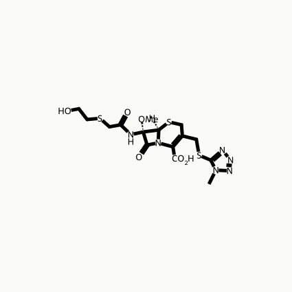 CO[C@@]1(NC(=O)CSCCO)C(=O)N2C(C(=O)O)=C(CSc3nnnn3C)CS[C@@H]21